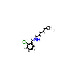 CCCCCCNCc1ccccc1Cl